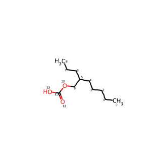 CCCCCC(CCC)COC(=O)O